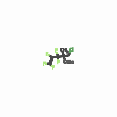 COC(C)(CCl)C(F)(F)C(F)=C(F)F